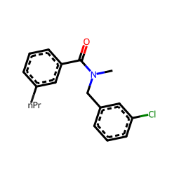 CCCc1cccc(C(=O)N(C)Cc2cccc(Cl)c2)c1